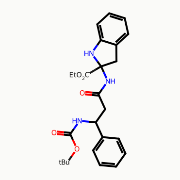 CCOC(=O)C1(NC(=O)CC(NC(=O)OC(C)(C)C)c2ccccc2)Cc2ccccc2N1